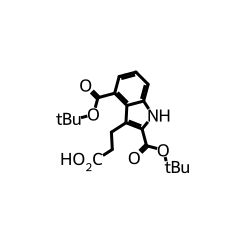 CC(C)(C)OC(=O)c1[nH]c2cccc(C(=O)OC(C)(C)C)c2c1CCC(=O)O